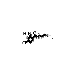 NCCCNC(=O)c1ccc(Cl)cc1N